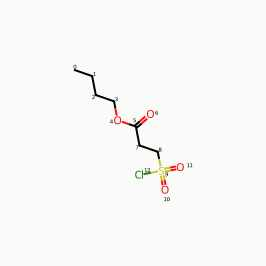 CCCCOC(=O)CCS(=O)(=O)Cl